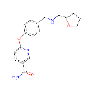 NC(=O)c1ccc(Oc2ccc(CNCC3CCCO3)cc2)nc1